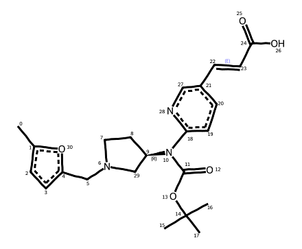 Cc1ccc(CN2CC[C@@H](N(C(=O)OC(C)(C)C)c3ccc(/C=C/C(=O)O)cn3)C2)o1